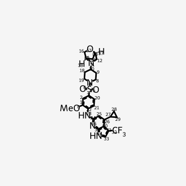 COc1cc(S(=O)(=O)N2CCC(N3C[C@H]4C[C@@H]3CO4)CC2)ccc1Nc1cc(C2CC2)c2c(C(F)(F)F)c[nH]c2n1